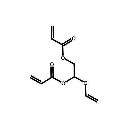 C=COC(COC(=O)C=C)OC(=O)C=C